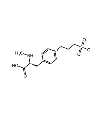 CN[C@@H](Cc1cc[n+](CCCS(=O)(=O)[O-])cc1)C(=O)O